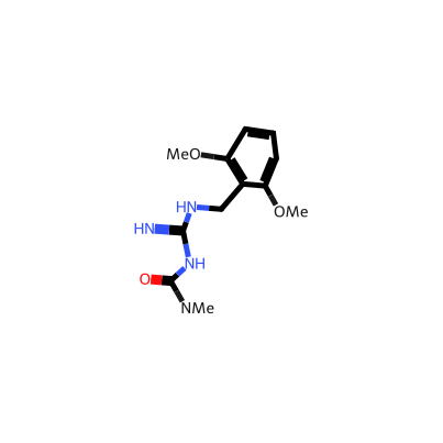 CNC(=O)NC(=N)NCc1c(OC)cccc1OC